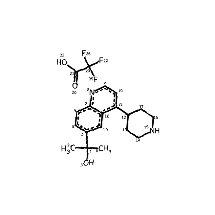 CC(C)(O)c1ccc2nccc(C3CCNCC3)c2c1.O=C(O)C(F)(F)F